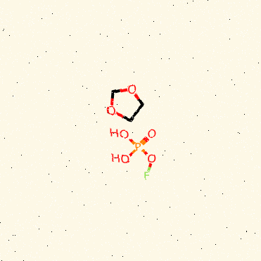 C1COCO1.O=P(O)(O)OF